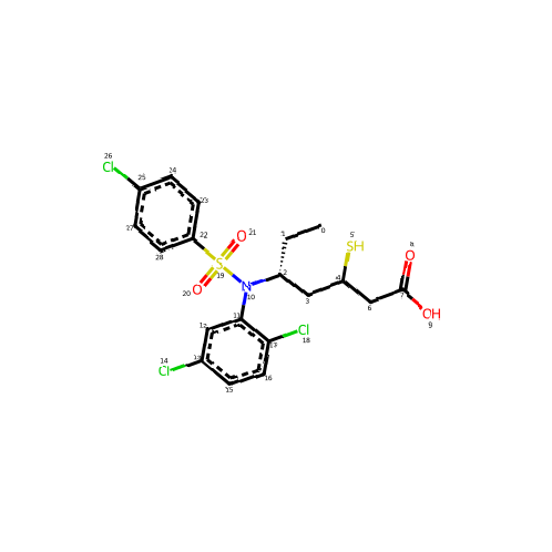 CC[C@H](CC(S)CC(=O)O)N(c1cc(Cl)ccc1Cl)S(=O)(=O)c1ccc(Cl)cc1